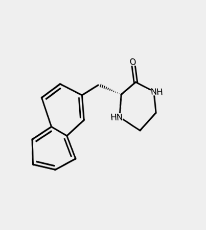 O=C1NCCN[C@@H]1Cc1ccc2ccccc2c1